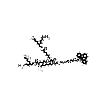 CCCCCCCCN(CCOCCOCCOCCOCCOC(c1ccccc1)(c1ccccc1)c1ccccc1)C(=O)C(COCCCCCC(=O)OCCC(CCC)CCCCC)OCCCCCC(=O)OCCC(CCCCC)CCCCC